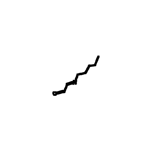 CCCCCN=CC=O